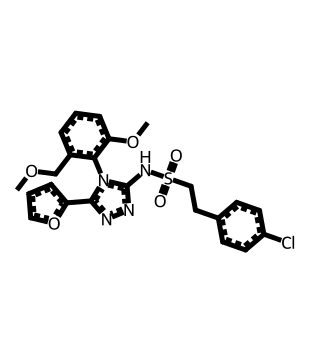 COCc1cccc(OC)c1-n1c(NS(=O)(=O)CCc2ccc(Cl)cc2)nnc1-c1ccco1